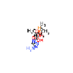 CCC(C)[PH](=O)OC(C)(C)C[C@H]1OC(n2ccc3c(N)ncnc32)[C@H](O)[C@@H]1O